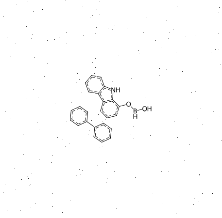 OBOc1cccc2c1[nH]c1ccccc12.c1ccc(-c2ccccc2)cc1